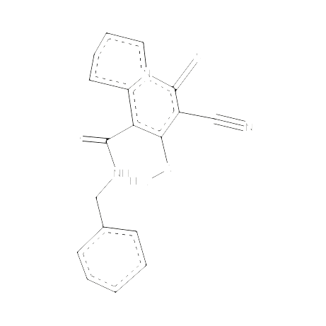 CSc1c(C#N)c(=O)n2ccccc2c1C(=O)NCc1ccccc1